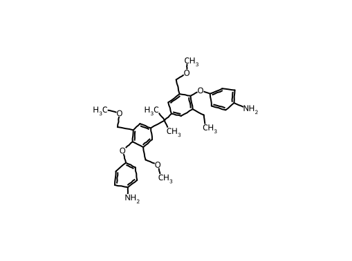 CCc1cc(C(C)(C)c2cc(COC)c(Oc3ccc(N)cc3)c(COC)c2)cc(COC)c1Oc1ccc(N)cc1